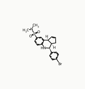 CN(C)S(=O)(=O)c1ccc2c(c1)[C@H]1C=CC[C@H]1[C@@H](c1ccc(Br)cc1)N2